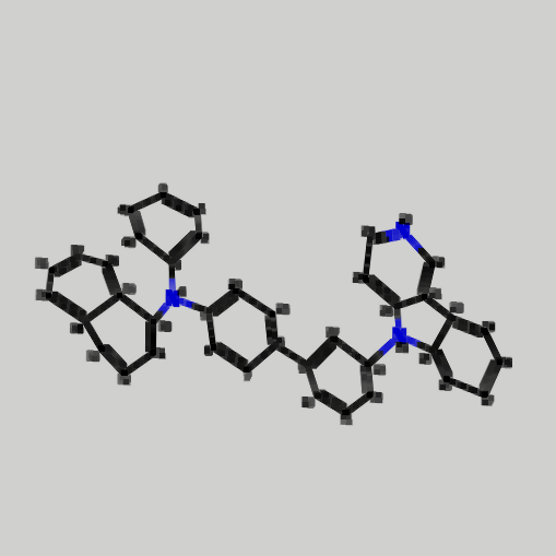 c1ccc(N(c2ccc(-c3cccc(-n4c5ccccc5c5cnccc54)c3)cc2)c2cccc3ccccc23)cc1